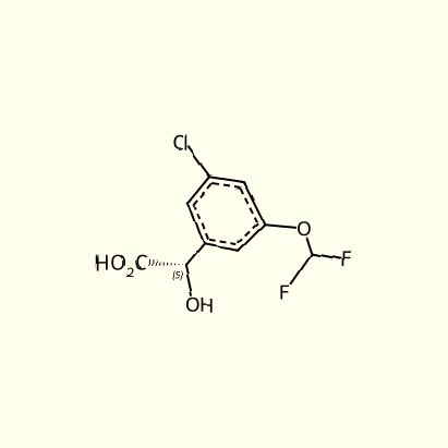 O=C(O)[C@@H](O)c1cc(Cl)cc(OC(F)F)c1